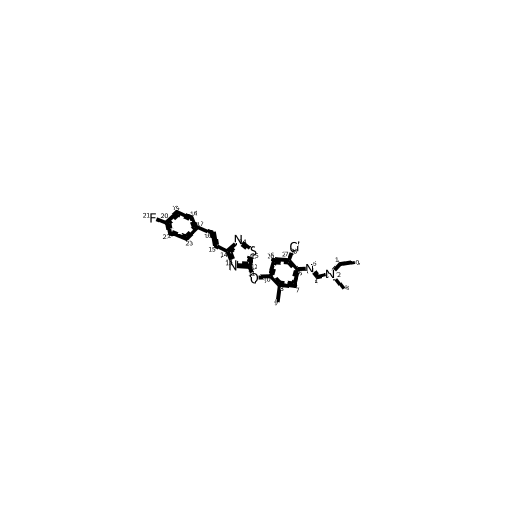 CCN(C)C=Nc1cc(C)c(Oc2nc(C=Cc3ccc(F)cc3)ns2)cc1Cl